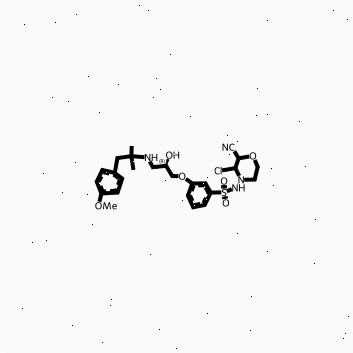 COc1ccc(CC(C)(C)NC[C@@H](O)COc2cccc(S(=O)(=O)NN3CCOC(C#N)C3Cl)c2)cc1